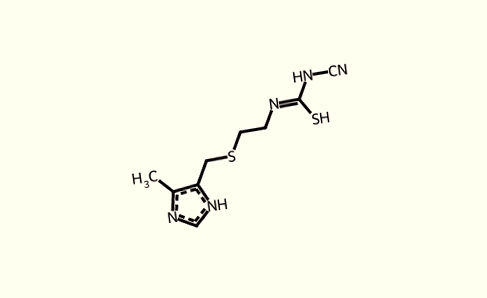 Cc1nc[nH]c1CSCCN=C(S)NC#N